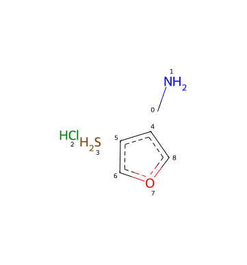 CN.Cl.S.c1ccoc1